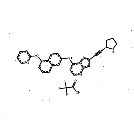 C(#C[C@H]1CCCN1)c1cc2ncnc(Nc3ccc4c(Oc5ccccn5)cccc4c3)c2s1.O=C(O)C(F)(F)F